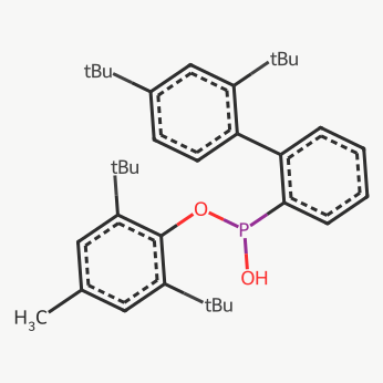 Cc1cc(C(C)(C)C)c(OP(O)c2ccccc2-c2ccc(C(C)(C)C)cc2C(C)(C)C)c(C(C)(C)C)c1